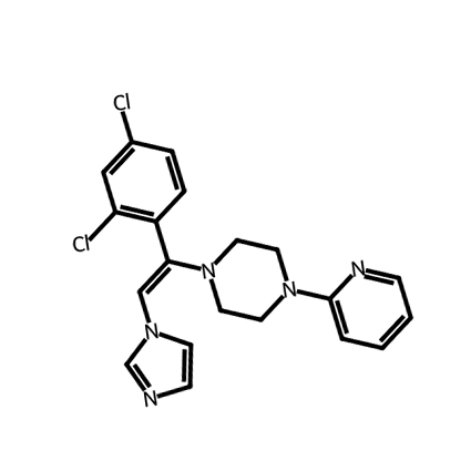 Clc1ccc(C(=Cn2ccnc2)N2CCN(c3ccccn3)CC2)c(Cl)c1